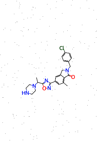 Cc1cc(-c2noc(C(C)N3CCNCC3)n2)cc2c1C(=O)N(Cc1ccc(Cl)cc1)C2